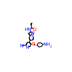 N#Cc1cc(-c2ccn3nc(NC(=O)C4CC4)cc3c2)c(OC[C@H]2CC[C@H](N)CC2)cn1